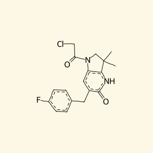 CC1(C)CN(C(=O)CCl)c2cc(Cc3ccc(F)cc3)c(=O)[nH]c21